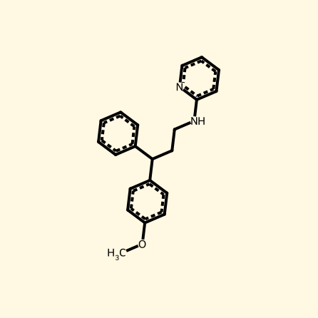 COc1ccc(C(CCNc2ccccn2)c2ccccc2)cc1